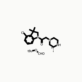 CC(C)(C)OC=O.C[C@@H]1CN(CC(=O)N2CC(C)(C)c3c(Cl)cccc32)CCN1